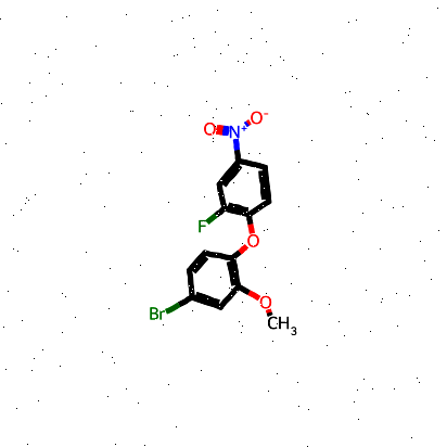 COc1cc(Br)ccc1Oc1ccc([N+](=O)[O-])cc1F